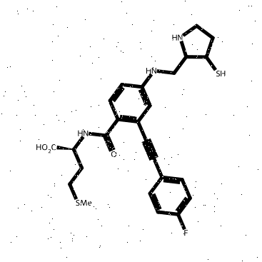 CSCC[C@H](NC(=O)c1ccc(NCC2NCCC2S)cc1C#Cc1ccc(F)cc1)C(=O)O